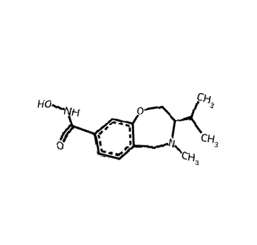 CC(C)[C@@H]1COc2cc(C(=O)NO)ccc2CN1C